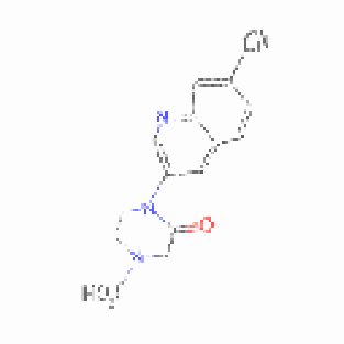 N#Cc1ccc2cc(N3CCN(C(=O)O)CC3=O)cnc2c1